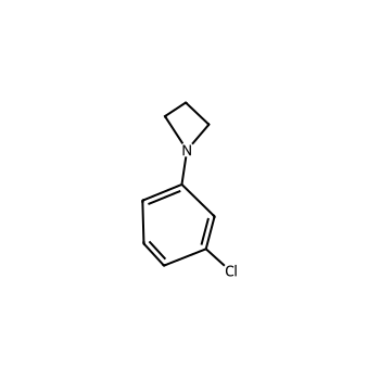 Clc1cccc(N2CCC2)c1